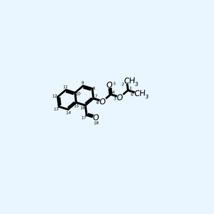 CC(C)OC(=O)Oc1ccc2ccccc2c1C=O